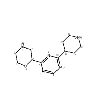 c1nc(C2CNCCO2)nc(N2CCNCC2)n1